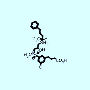 CN(CC(O)CNC(C)(C)CCCc1ccccc1)S(=O)(=O)c1cc(Cl)cc(CCCC(=O)O)c1